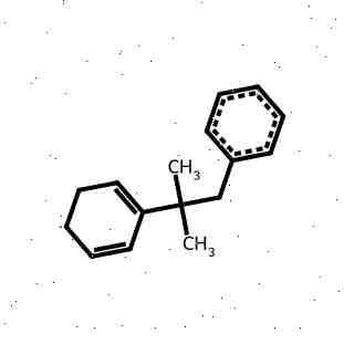 CC(C)(Cc1ccccc1)C1=CC[CH]C=C1